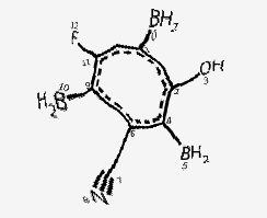 Bc1c(O)c(B)c(C#N)c(B)c1F